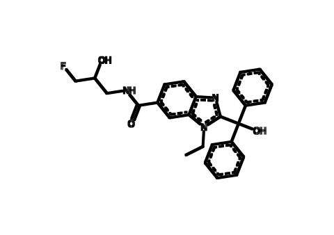 CCn1c(C(O)(c2ccccc2)c2ccccc2)nc2ccc(C(=O)NCC(O)CF)cc21